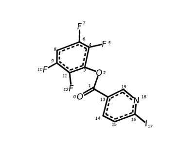 O=C(Oc1c(F)c(F)cc(F)c1F)c1ccc(I)nc1